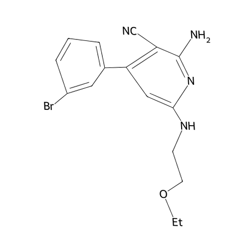 CCOCCNc1cc(-c2cccc(Br)c2)c(C#N)c(N)n1